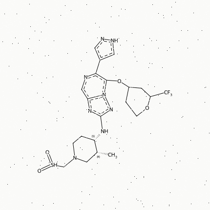 C[C@@H]1CN(C[SH](=O)=O)CC[C@@H]1Nc1nc2cnc(-c3cn[nH]c3)c(OC3CCOC(C(F)(F)F)C3)n2n1